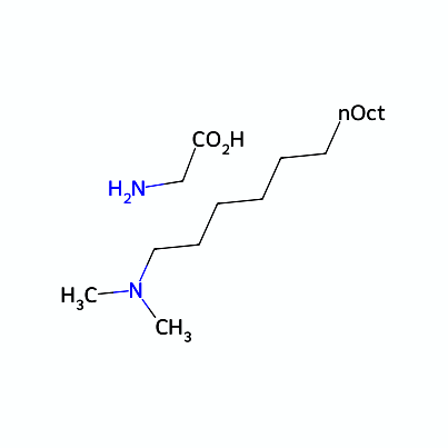 CCCCCCCCCCCCCCN(C)C.NCC(=O)O